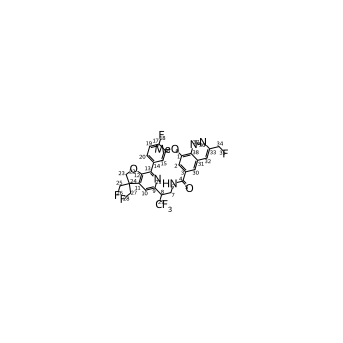 COc1cc(C(=O)NCC(c2cc3c(c(-c4ccc(F)cc4)n2)OCC3(CF)CF)C(F)(F)F)cc2cc(CF)nnc12